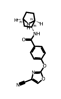 N#Cc1coc(Oc2ccc(C(=O)N[C@@H]3C[C@H]4CC[C@@H]3N4)cc2)n1